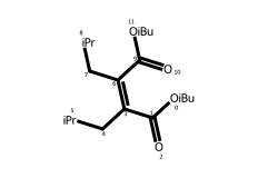 CC(C)COC(=O)C(CC(C)C)=C(CC(C)C)C(=O)OCC(C)C